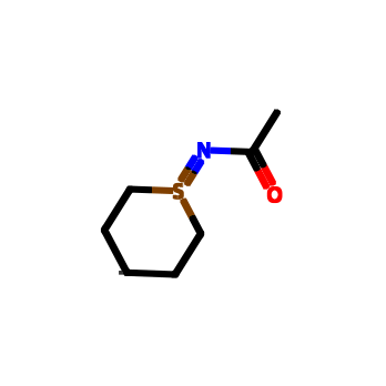 CC(=O)N=S1CC[CH]CC1